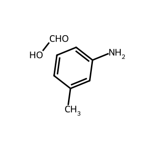 Cc1cccc(N)c1.O=CO